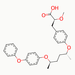 CO[C@@H](Cc1ccc(O[C@H](C)CC[C@@H](C)Oc2ccc(Oc3ccccc3)cc2)cc1)C(=O)O